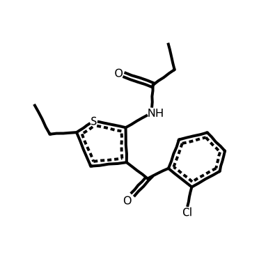 CCC(=O)Nc1sc(CC)cc1C(=O)c1ccccc1Cl